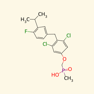 CC(C)c1cc(Cc2c(Cl)cc(OCP(C)(=O)O)cc2Cl)ccc1F